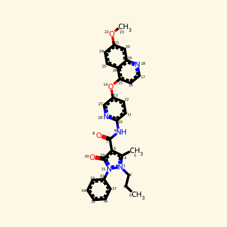 CCCn1c(C)c(C(=O)Nc2ccc(Oc3ccnc4cc(OC)ccc34)cn2)c(=O)n1-c1ccccc1